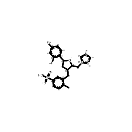 Cc1ccc(S(=O)(=O)O)cc1CC1CC(c2ccc(F)cc2F)OC1Cn1cncn1